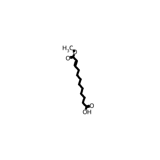 COC(=O)C=CCCCCCCCCC(=O)O